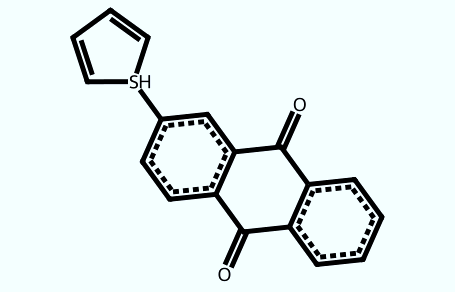 O=C1c2ccccc2C(=O)c2cc([SH]3C=CC=C3)ccc21